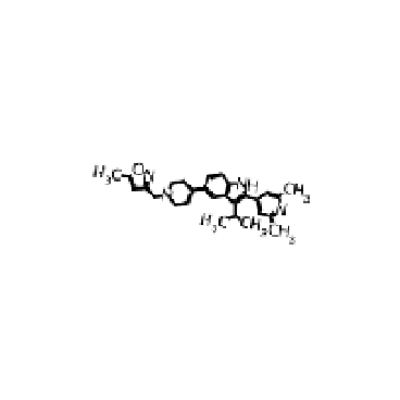 Cc1cc(-c2[nH]c3ccc(C4CCN(Cc5cc(C)on5)CC4)cc3c2C(C)C)cc(C)n1